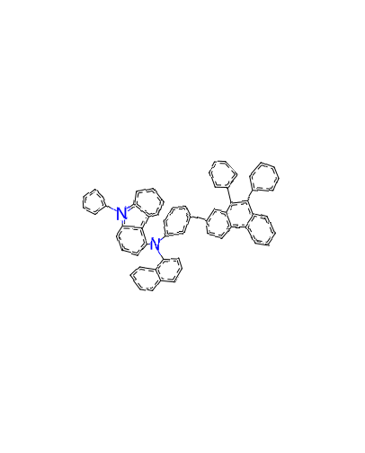 c1ccc(-c2c(-c3ccccc3)c3cc(-c4cccc(N(c5cccc6ccccc56)c5cccc6c5c5ccccc5n6-c5ccccc5)c4)ccc3c3ccccc23)cc1